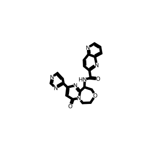 O=C(NC1COCCn2c1nc(-c1ccncn1)cc2=O)c1ccc2ncccc2n1